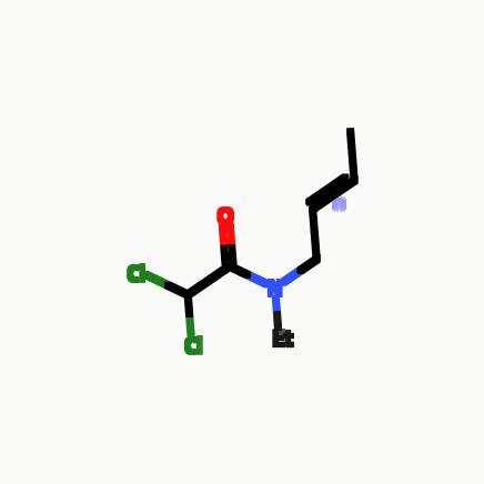 C/C=C/CN(CC)C(=O)C(Cl)Cl